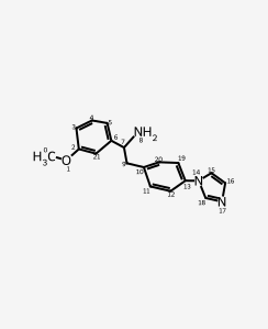 COc1cccc(C(N)Cc2ccc(-n3ccnc3)cc2)c1